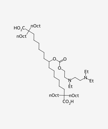 CCCCCCCCC(CCCCCCCC)(CCCCCCC(CCCCCCC(CCCCCCCC)(CCCCCCCC)C(=O)O)OC(=O)OCCN(CC)CCN(CC)CC)C(=O)O